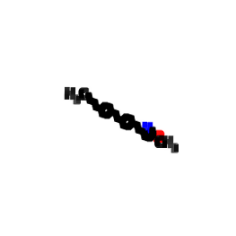 CCCCCC1CCC(CCC2CCC(CCc3ccc(OC)cn3)CC2)CC1